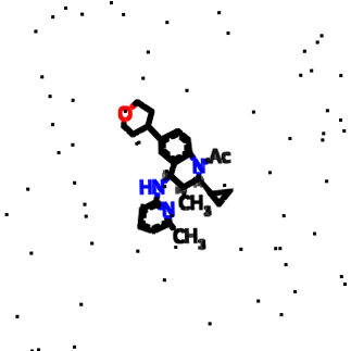 CC(=O)N1c2ccc(C3CCOCC3)cc2[C@H](Nc2cccc(C)n2)[C@@H](C)[C@@H]1C1CC1